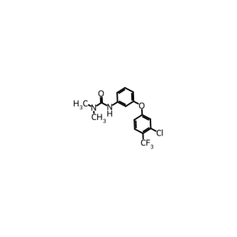 CN(C)C(=O)Nc1cccc(Oc2ccc(C(F)(F)F)c(Cl)c2)c1